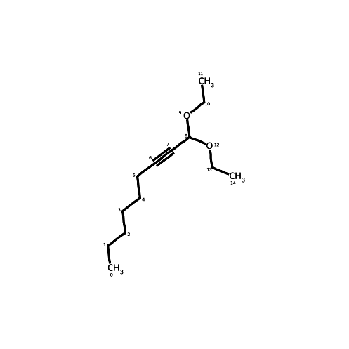 CCCCCCC#CC(OCC)OCC